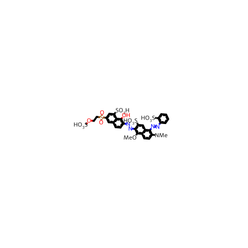 CNc1ccc2c(OC)c(/N=N/c3ccc4cc(S(=O)(=O)CCOS(=O)(=O)O)cc(S(=O)(=O)O)c4c3O)c(S(=O)(=O)O)cc2c1/N=N/c1ccccc1S(=O)(=O)O